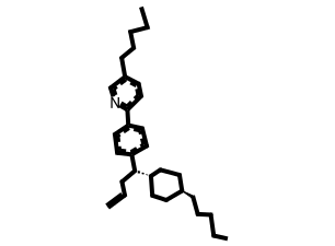 C=CCC(c1ccc(-c2ccc(CCCCC)cn2)cc1)[C@H]1CC[C@H](CCCCC)CC1